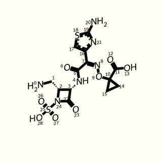 NC[C@@H]1[C@H](NC(=O)/C(=N\OC2(C(=O)O)CC2)c2csc(N)n2)C(=O)N1S(=O)(=O)O